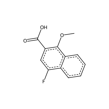 COc1c(C(=O)O)cc(F)c2ccccc12